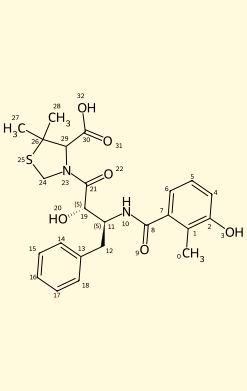 Cc1c(O)cccc1C(=O)N[C@@H](Cc1ccccc1)[C@H](O)C(=O)N1CSC(C)(C)C1C(=O)O